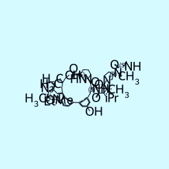 CCn1c(-c2cccnc2[C@H](C)OC)c2c3cc(ccc31)-c1cc(O)cc(c1)C[C@H](NC(=O)C(C(C)C)N(C)C(=O)N1CC[C@@H](N(C)C(=O)[C@@H]3CN3)C1)C(=O)N1CCC[C@H](N1)C(=O)OCC(C)(C)C2